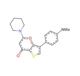 CNc1ccc(-c2csc3c(=O)cc(N4CCCCC4)oc23)cc1